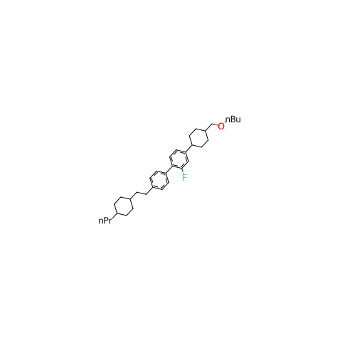 CCCCOCC1CCC(c2ccc(-c3ccc(CCC4CCC(CCC)CC4)cc3)c(F)c2)CC1